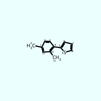 Cc1ccc(-c2cc[c]s2)c(C)c1